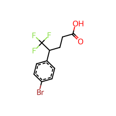 O=C(O)CCC(c1ccc(Br)cc1)C(F)(F)F